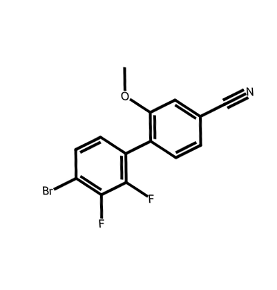 COc1cc(C#N)ccc1-c1ccc(Br)c(F)c1F